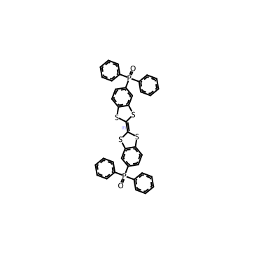 O=P(c1ccccc1)(c1ccccc1)c1ccc2c(c1)S/C(=C1\Sc3ccc(P(=O)(c4ccccc4)c4ccccc4)cc3S1)S2